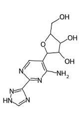 Nc1nc(-c2nc[nH]n2)ncc1C1OC(CO)C(O)C1O